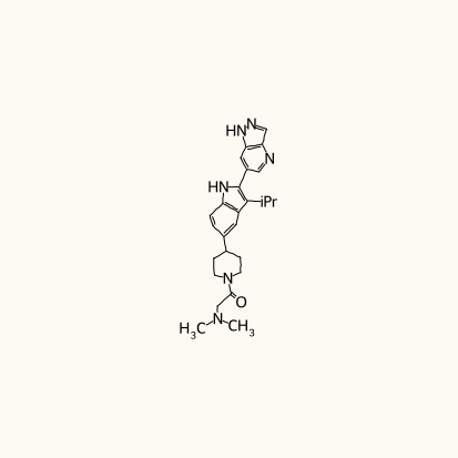 CC(C)c1c(-c2cnc3cn[nH]c3c2)[nH]c2ccc(C3CCN(C(=O)CN(C)C)CC3)cc12